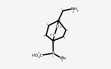 CC(C)(C)N(C(=O)O)C12CCC(CN)(CC1)OC2